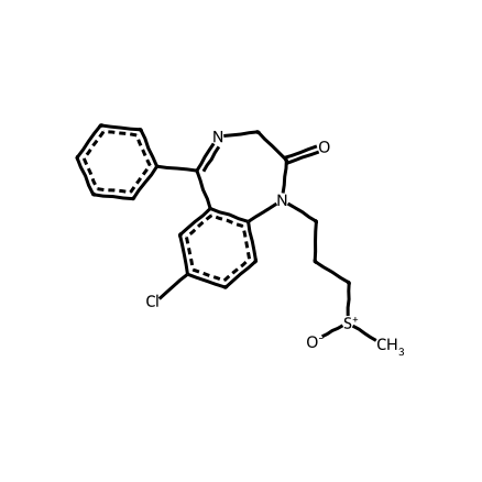 C[S+]([O-])CCCN1C(=O)CN=C(c2ccccc2)c2cc(Cl)ccc21